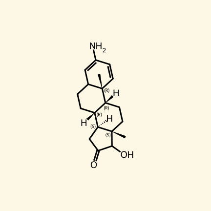 C[C@]12C=CC(N)=CC1CC[C@@H]1[C@H]2CC[C@]2(C)C(O)C(=O)C[C@@H]12